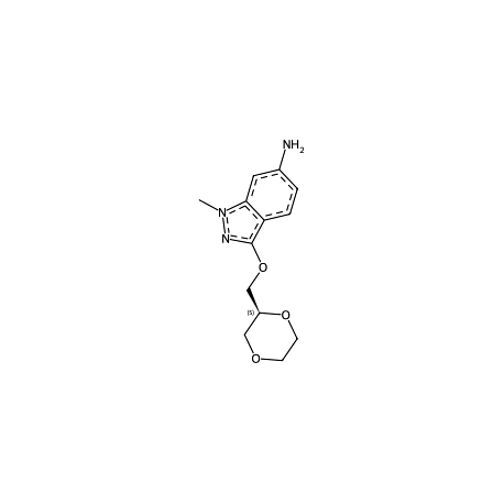 Cn1nc(OC[C@@H]2COCCO2)c2ccc(N)cc21